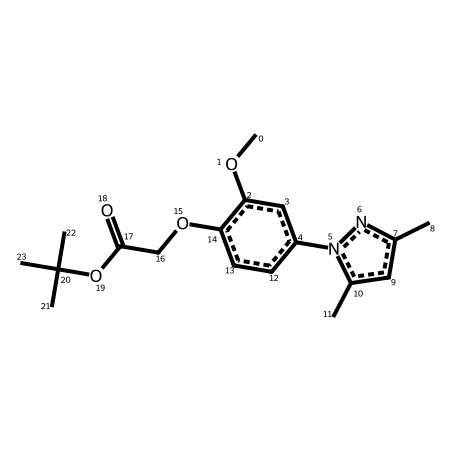 COc1cc(-n2nc(C)cc2C)ccc1OCC(=O)OC(C)(C)C